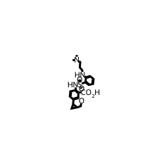 CN(C)CCCNc1ccccc1S(=O)(=O)Nc1ccc2c(c1C(=O)O)OCC1CC21